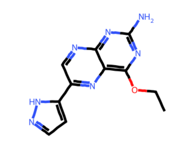 CCOc1nc(N)nc2ncc(-c3ccn[nH]3)nc12